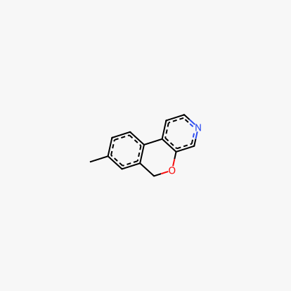 Cc1ccc2c(c1)COc1cnccc1-2